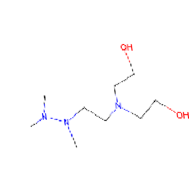 CN(C)N(C)CCN(CCO)CCO